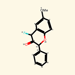 COc1ccc2c(c1)C(F)C(=O)C(c1ccccc1)O2